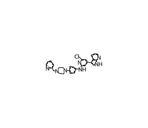 Clc1cc(-c2c[nH]c3ncccc23)cc(Nc2ccc(N3CCN(Cc4ccccn4)CC3)cc2)n1